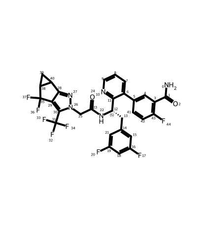 NC(=O)c1cc(-c2cccnc2[C@H](Cc2cc(F)cc(F)c2)NC(=O)Cn2nc3c(c2C(F)(F)F)C(F)(F)C2CC32)ccc1F